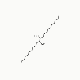 CCCCCCCCCCC(O)C(O)CCCCCCCCCC